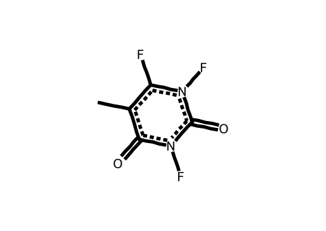 Cc1c(F)n(F)c(=O)n(F)c1=O